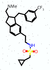 CNCC1Cc2ccc(CCNS(=O)(=O)CC3CC3)cc2C1Cc1cccc(C(F)(F)F)c1